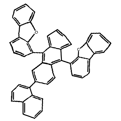 c1ccc2c(-c3ccc4c(-c5cccc6c5oc5ccccc56)c5ccccc5c(-c5cccc6c5oc5ccccc56)c4c3)cccc2c1